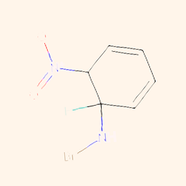 O=[N+]([O-])C1C=CC=CC1(F)NBr